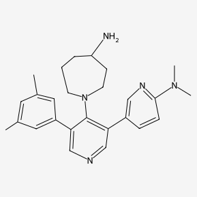 Cc1cc(C)cc(-c2cncc(-c3ccc(N(C)C)nc3)c2N2CCCC(N)CC2)c1